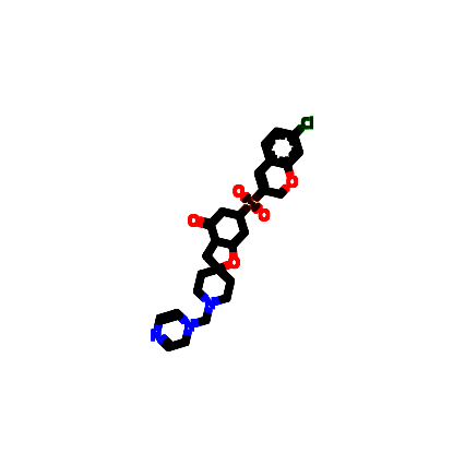 O=C1CC(S(=O)(=O)C2=Cc3ccc(Cl)cc3OC2)CC2OC3(CCN(CN4C=CN=CC4)CC3)CC12